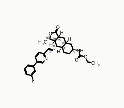 CCOC(=O)N[C@H]1CC[C@@H]2[C@@H](C1)C[C@H]1C(=O)O[C@@H](C)[C@H]1[C@H]2/C=C/c1ccc(-c2cccc(F)c2)cn1